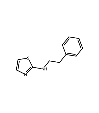 [c]1ccccc1CCNc1nccs1